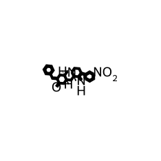 C[C@@]12C[C@@H]3CC(=O)/C(=C/c4ccccc4)C[C@H]3CN1CCc1c2[nH]c2ccc([N+](=O)[O-])cc12